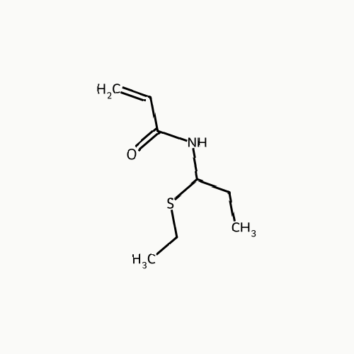 C=CC(=O)NC(CC)SCC